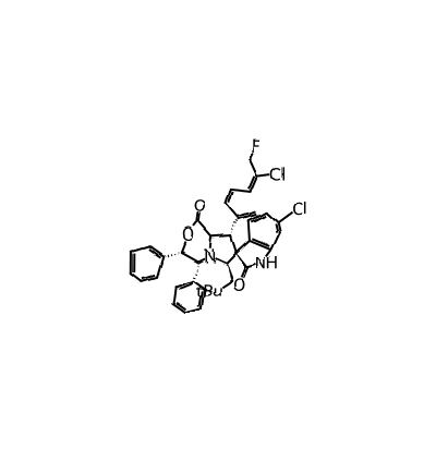 C=C(/C=C\C=C(\Cl)CF)[C@H]1C2C(=O)O[C@@H](c3ccccc3)[C@@H](c3ccccc3)N2[C@H](CC(C)(C)C)[C@]12C(=O)Nc1cc(Cl)ccc12